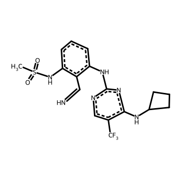 CS(=O)(=O)Nc1cccc(Nc2ncc(C(F)(F)F)c(NC3CCC3)n2)c1C=N